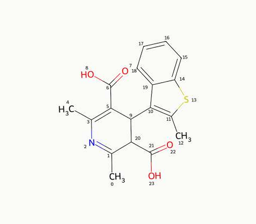 CC1=NC(C)=C(C(=O)O)C(c2c(C)sc3ccccc23)C1C(=O)O